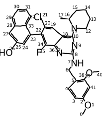 COc1ccc(CNc2nc(N3CCCC[C@@H]3C)c3cc(Cl)c(-c4cc(O)cc5ccccc45)c(F)c3n2)c(OC)c1